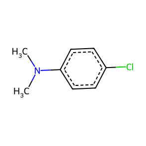 CN(C)c1ccc(Cl)cc1